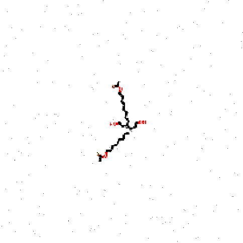 CC(=S)OCCCCCCCC[C@@H](CCO)[C@@H](CCO)CCCCCCCCOC(C)=S